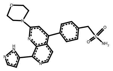 NS(=O)(=O)Cc1ccc(-c2cc(N3CCOCC3)nc3c(-c4ccn[nH]4)nccc23)cc1